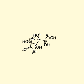 CC(=O)C(O)(C(=O)Br)C(O)C(O)C(O)CO